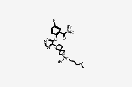 CCN(C(=O)c1cc(F)ccc1Oc1nncnc1N1CCC2(C1)CN([C@@H](CCCCN(C)C)C(C)C)C2)C(C)C